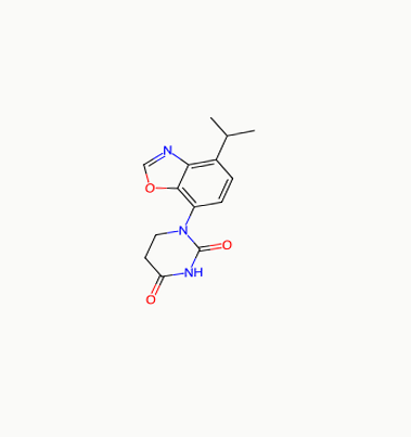 CC(C)c1ccc(N2CCC(=O)NC2=O)c2ocnc12